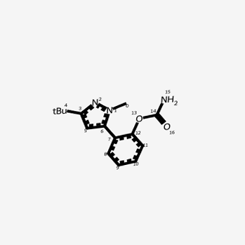 Cn1nc(C(C)(C)C)cc1-c1ccccc1OC(N)=O